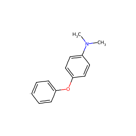 CN(C)c1ccc(Oc2cc[c]cc2)cc1